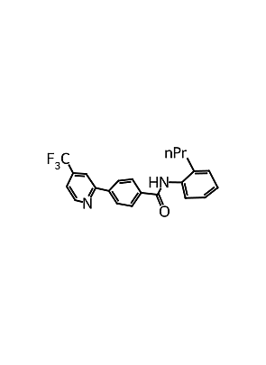 CCCc1ccccc1NC(=O)c1ccc(-c2cc(C(F)(F)F)ccn2)cc1